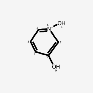 Oc1ccc[n+](O)c1